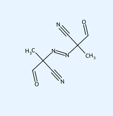 CC(C#N)(C=O)N=NC(C)(C#N)C=O